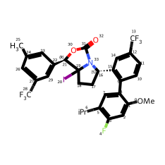 COc1cc(F)c(C(C)C)cc1-c1ccc(C(F)(F)F)cc1[C@@H]1CCC2(I)[C@@H](c3cc(C)cc(C(F)(F)F)c3)OC(=O)N12